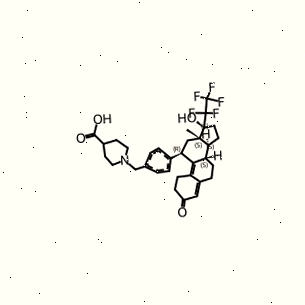 C[C@]12C[C@H](c3ccc(CN4CCC(C(=O)O)CC4)cc3)C3=C4CCC(=O)C=C4CC[C@H]3[C@@H]1CC[C@@]2(O)C(F)(F)C(F)(F)F